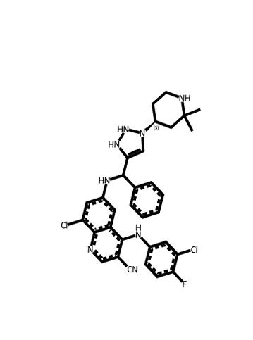 CC1(C)C[C@@H](N2C=C(C(Nc3cc(Cl)c4ncc(C#N)c(Nc5ccc(F)c(Cl)c5)c4c3)c3ccccc3)NN2)CCN1